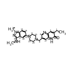 CCc1cc2ncc(CN3CCN(c4ccc5c(c4)c(NC)nn5C)CC3)cc2[nH]c1=O